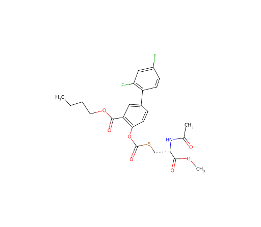 CCCCOC(=O)c1cc(-c2ccc(F)cc2F)ccc1OC(=O)SC[C@H](NC(C)=O)C(=O)OC